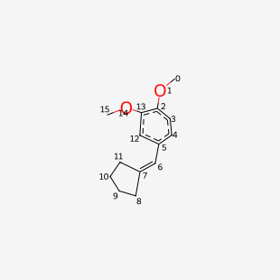 COc1ccc(C=C2CCCC2)cc1OC